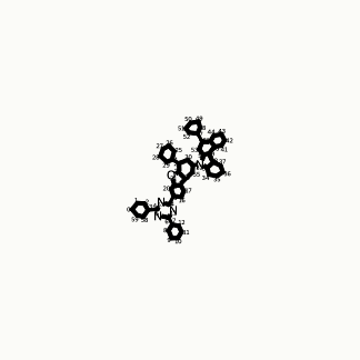 c1ccc(-c2nc(-c3ccccc3)nc(-c3ccc4c(c3)oc3c(-c5ccccc5)cc(-n5c6ccccc6c6c7ccccc7c(-c7ccccc7)cc65)cc34)n2)cc1